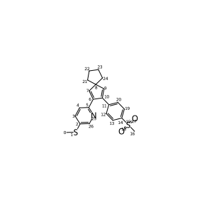 CSc1ccc(C2=CC3(C=C2c2ccc(S(C)(=O)=O)cc2)CCCC3)nc1